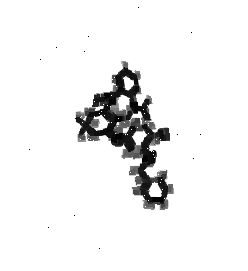 C=C(C)N1c2ccccc2NC2=C(C(=O)CC(C)(C)C2)[C@H]1c1ccc(OCc2ccccc2)c(Cl)c1